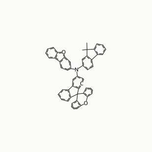 CC1(C)c2ccccc2-c2ccc(N(c3ccc4c(c3)-c3ccccc3C43c4ccccc4Oc4ccccc43)c3ccc4c(c3)oc3ccccc34)cc21